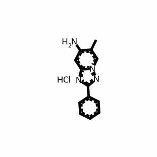 Cc1cn2nc(-c3ccccc3)nc2cc1N.Cl